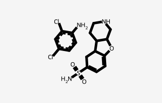 NS(=O)(=O)C1=CC=C2OC3CNCCC3C2C1.Nc1ccc(Cl)cc1Cl